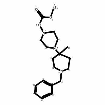 CC(C)(C)OC(=O)ON1CCN(C2(C)CCN(Cc3ccccc3)CC2)CC1